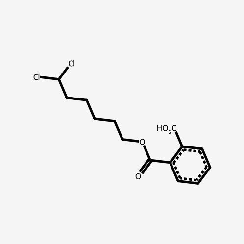 O=C(O)c1ccccc1C(=O)OCCCCCC(Cl)Cl